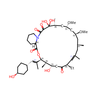 CC[C@@H]1/C=C(\C)C[C@H](C)C[C@H](OC)C[C@@H](OC)C[C@@H](C)C(O)(O)C(=O)C(=O)N2CCCC[C@H]2C(=O)O[C@H](/C(C)=C/[C@H]2CC[C@H](O)CC2)[C@H](C)[C@@H](O)CC1=O